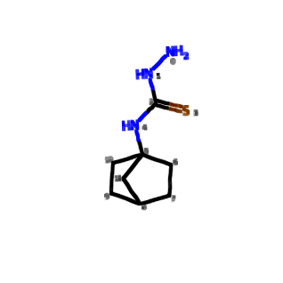 NNC(=S)NC12CCC(CC1)C2